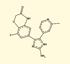 Cc1cc(-c2[nH]c(N)nc2-c2cc(F)c3c(c2)NC(=O)CO3)ccn1